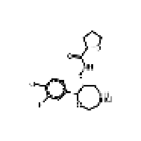 Cl.O=C(NC[C@@H]1CNCCO[C@H]1c1ccc(Cl)c(F)c1)C1CCCO1